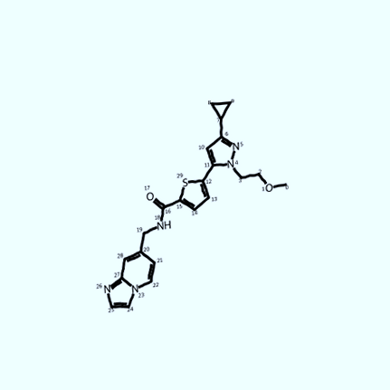 COCCn1nc(C2CC2)cc1-c1ccc(C(=O)NCc2ccn3ccnc3c2)s1